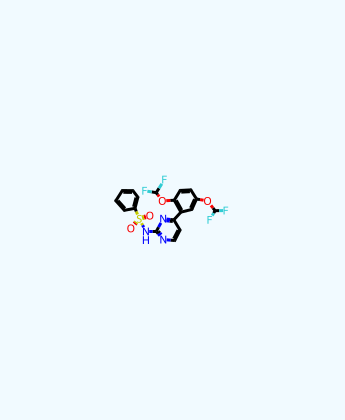 O=S(=O)(Nc1nccc(-c2cc(OC(F)F)ccc2OC(F)F)n1)c1ccccc1